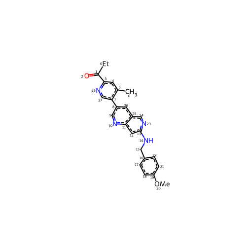 CCC(=O)c1cc(C)c(-c2cnc3cc(NCc4ccc(OC)cc4)ncc3c2)cn1